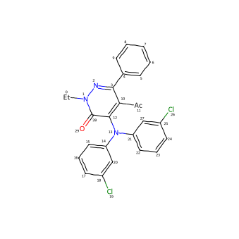 CCn1nc(-c2ccccc2)c(C(C)=O)c(N(c2cccc(Cl)c2)c2cccc(Cl)c2)c1=O